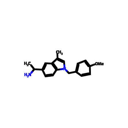 COc1ccc(Cn2cc(C)c3cc(C(C)N)ccc32)cc1